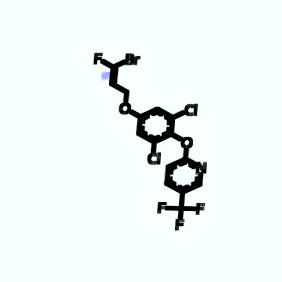 F/C(Br)=C/COc1cc(Cl)c(Oc2ccc(C(F)(F)F)cn2)c(Cl)c1